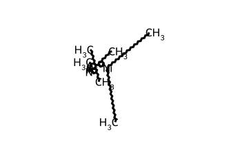 CCCCCCC(C(C)=C=[N+]=[N-])=C(c1cccc(CCCC)c1)c1cccc(CCCCCC)c1.CCCCCCCCCCCCCCCCCCCCCC[CH2][Ni][CH2]CCCCCCCCCCCCCCCCCCCCCC